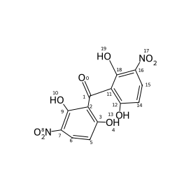 O=C(c1c(O)ccc([N+](=O)[O-])c1O)c1c(O)ccc([N+](=O)[O-])c1O